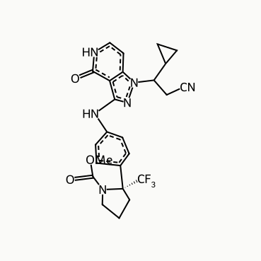 COC(=O)N1CCC[C@@]1(c1ccc(Nc2nn(C(CC#N)C3CC3)c3cc[nH]c(=O)c23)cc1)C(F)(F)F